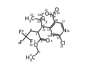 CCOC(=O)C(CC(F)(F)F)N(c1nc(Cl)ncc1[N+](=O)[O-])C(C)C